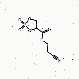 N#CCCOC(=O)C1COS(=O)(=O)O1